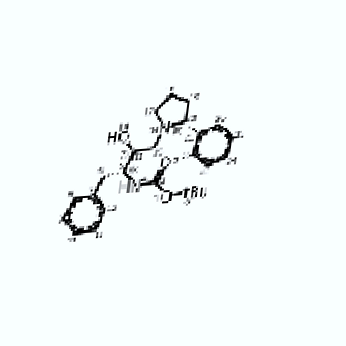 CC(C)(C)OC(=O)N[C@H](Cc1ccccc1)[C@@H](O)CN1CCC[C@@H]1c1ccccc1